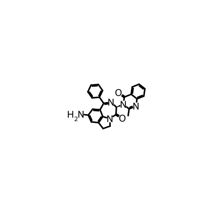 Cc1nc2ccccc2c(=O)n1[C@@H]1N=C(c2ccccc2)c2cc(N)cc3c2N(CC3)C1=O